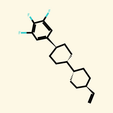 C=C[C@H]1CC[C@H]([C@H]2CC[C@H](c3cc(F)c(F)c(F)c3)CC2)CC1